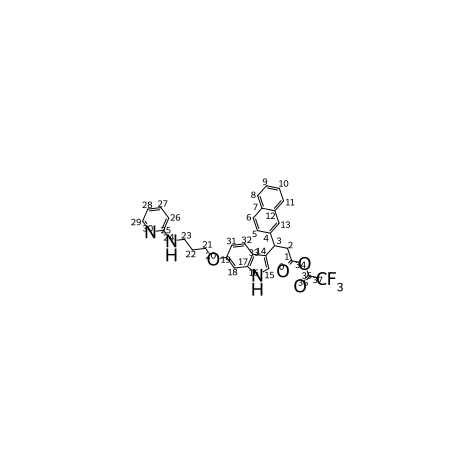 O=C(CC(c1ccc2ccccc2c1)c1c[nH]c2cc(OCCCNc3ccccn3)ccc12)OC(=O)C(F)(F)F